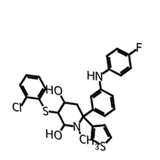 CN1C(O)C(Sc2ccccc2Cl)C(O)CC1(c1ccsc1)c1cccc(Nc2ccc(F)cc2)c1